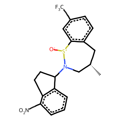 C[C@H]1Cc2ccc(C(F)(F)F)cc2[S+]([O-])N(C2CCc3c2cccc3[N+](=O)[O-])C1